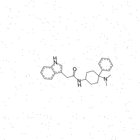 CN(C)C1(c2ccccc2)CCC(NC(=O)Cc2c[nH]c3ccccc23)CC1